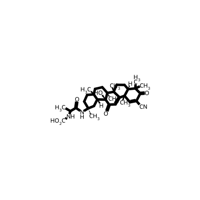 CC(NC(=O)O)C(=O)N[C@@]1(C)CC[C@]2(C)CC[C@@]3(C)[C@]4(C)CC[C@H]5C(C)(C)C(=O)C(C#N)=C[C@]5(C)C4=CC(=O)[C@]3(O)[C@@H]2C1